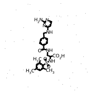 Cc1cc(C)c(S(=O)(=O)NC(CNC(=O)c2ccc(CNc3ccnc(N)n3)cc2)C(=O)O)c(C)c1